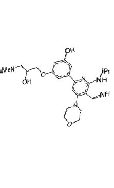 CNCC(O)COc1cc(O)cc(-c2cc(N3CCOCC3)c(C=N)c(NC(C)C)n2)c1